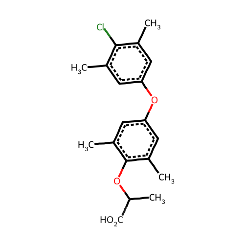 Cc1cc(Oc2cc(C)c(OC(C)C(=O)O)c(C)c2)cc(C)c1Cl